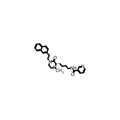 CN1CCN(CCc2ccc3ccccc3c2)C(=O)[C@@H]1CCCCNC(=O)c1cccnc1